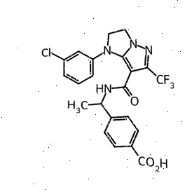 CC(NC(=O)c1c(C(F)(F)F)nn2c1N(c1cccc(Cl)c1)CC2)c1ccc(C(=O)O)cc1